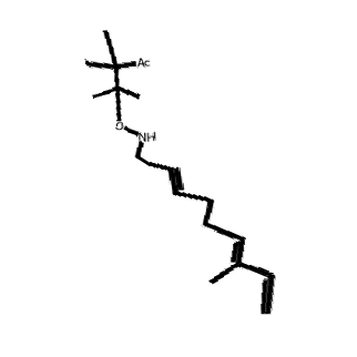 C=C/C(C)=C/CC/C=C/CNOC(C)(C)C(C)(C)C(C)=O